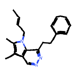 CC=CCn1c(C)c(C)c2cnnc(CCc3ccccc3)c21